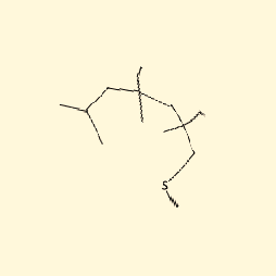 CSCC(C)(C)CC(C)(C)CC(C)C